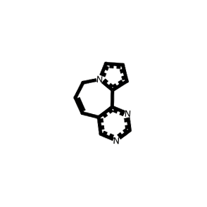 C1=Cc2cncnc2-c2cccn2C1